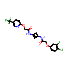 O=C(COc1ccc(Cl)c(F)c1)NC12CC(NC(=O)COc3ccc(C(F)(F)F)cn3)(C1)C2